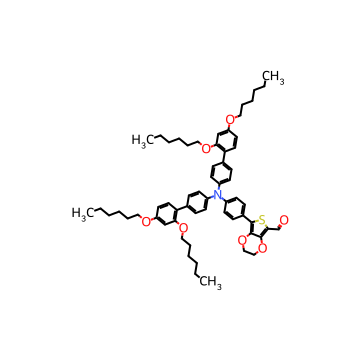 CCCCCCOc1ccc(-c2ccc(N(c3ccc(-c4ccc(OCCCCCC)cc4OCCCCCC)cc3)c3ccc(-c4sc(C=O)c5c4OCCO5)cc3)cc2)c(OCCCCCC)c1